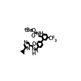 C[C@@H](NC(=O)c1cncc(C2CC2)n1)c1ccc(-c2cc(C(F)(F)F)ccc2CNC(=O)OC(C)(C)C)cc1